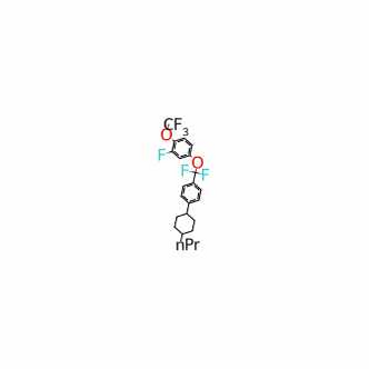 CCCC1CCC(c2ccc(C(F)(F)Oc3ccc(OC(F)(F)F)c(F)c3)cc2)CC1